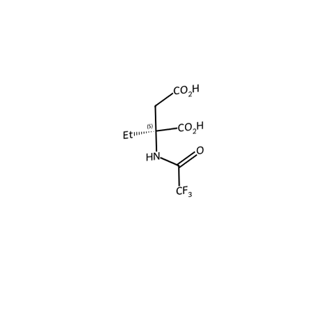 CC[C@@](CC(=O)O)(NC(=O)C(F)(F)F)C(=O)O